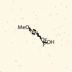 COCCN1CCN(CCCCOCC(F)(F)CO)CC1